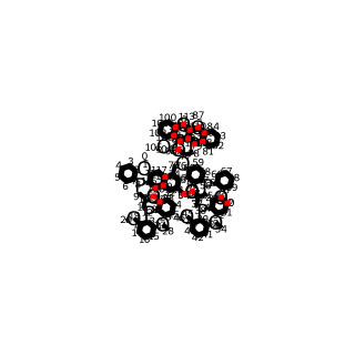 COc1ccccc1P(CC(CP(c1ccccc1OC)c1ccccc1OC)OCc1cc(COC(CP(c2ccccc2OC)c2ccccc2OC)CP(c2ccccc2OC)c2ccccc2OC)cc(COC(CP(c2ccccc2OC)c2ccccc2OC)CP(c2ccccc2OC)c2ccccc2OC)c1)c1ccccc1OC